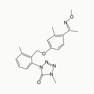 CON=C(C)c1ccc(OCc2c(C)cccc2-n2nnn(C)c2=O)cc1C